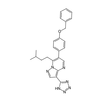 CC(C)CCc1c(-c2ccc(OCc3ccccc3)cc2)cnc2c(-c3nnn[nH]3)cnn12